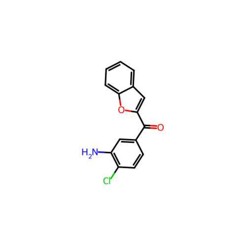 Nc1cc(C(=O)c2cc3ccccc3o2)ccc1Cl